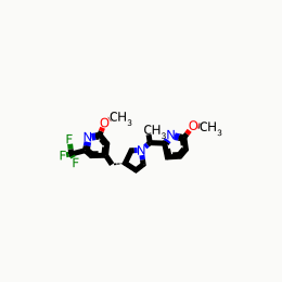 COc1cccc(C(C)N2CC[C@H](Cc3cc(OC)nc(C(F)(F)F)c3)C2)n1